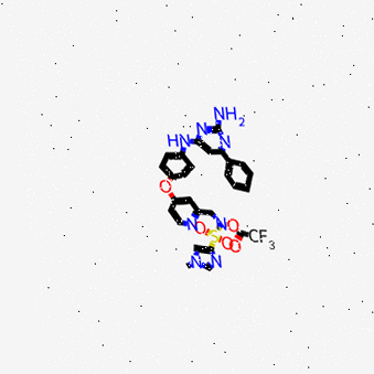 Cn1cnc(S(=O)(=O)N(Cc2cc(Oc3ccc(Nc4cc(-c5ccccc5)nc(N)n4)cc3)ccn2)OC(=O)C(F)(F)F)c1